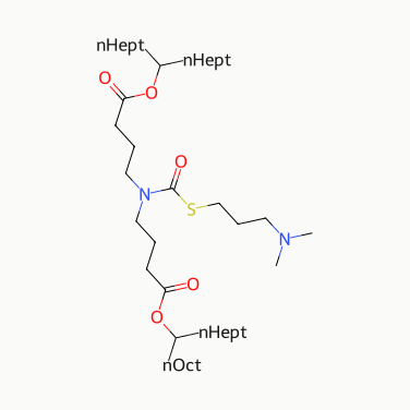 CCCCCCCCC(CCCCCCC)OC(=O)CCCN(CCCC(=O)OC(CCCCCCC)CCCCCCC)C(=O)SCCCN(C)C